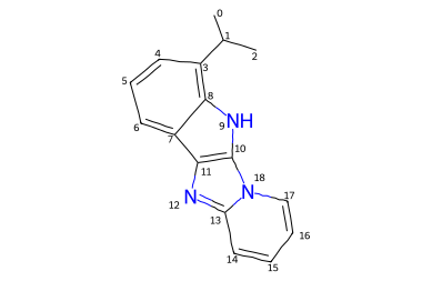 CC(C)c1cccc2c1[nH]c1c2nc2ccccn21